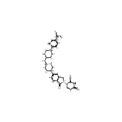 O=C1CC[C@H](N2Cc3cc(N4CCN(CC5CCN(c6ccc([N+](=O)[O-])cn6)CC5)CC4)ccc3C2=O)C(=O)N1